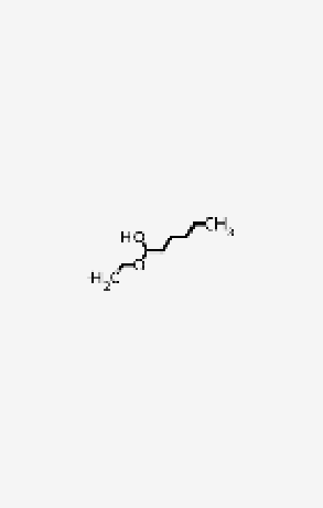 [CH2]COC(O)CCCCC